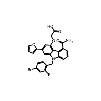 NC(=O)c1cccc2c1c1c(OCC(=O)O)cc(-c3ccco3)cc1n2Cc1ccc(Br)cc1F